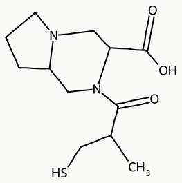 CC(CS)C(=O)N1CC2CCCN2CC1C(=O)O